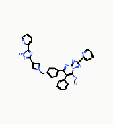 CC(C)Nc1c(-c2ccccc2)c(-c2ccc(CN3CC(c4n[nH]c(-c5ccccn5)n4)C3)cc2)nc2nc(-c3ccccn3)nn12